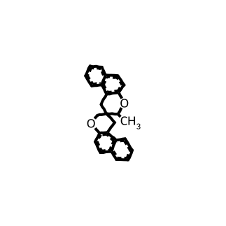 CC1Oc2ccc3ccccc3c2CC12COc1ccc3ccccc3c1C2